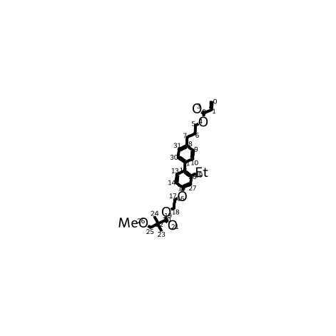 C=CC(=O)OCCCc1ccc(-c2ccc(OCCOC(=O)C(C)(C)COC)cc2CC)cc1